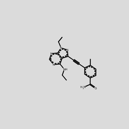 CCNc1ncnc2c1c(C#Cc1cc(C(N)=O)ccc1C)nn2CC